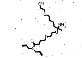 C=CCN(CC=C)C(=O)CCCOCCOC(C)(N)CCCCOCCO